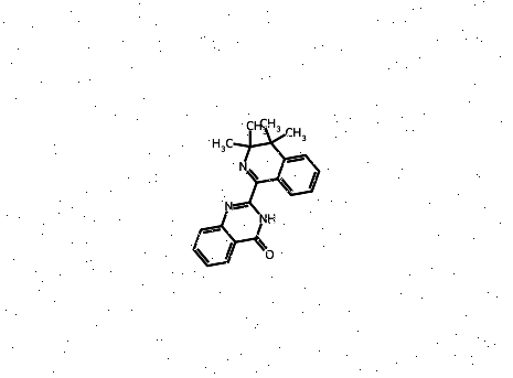 CC1(C)N=C(c2nc3ccccc3c(=O)[nH]2)c2ccccc2C1(C)C